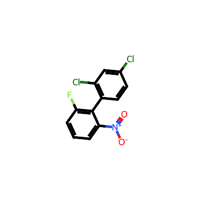 O=[N+]([O-])c1cccc(F)c1-c1ccc(Cl)cc1Cl